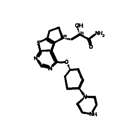 NC(=O)[C@@H](O)C[C@H]1CCc2sc3ncnc(O[C@H]4CC[C@H](N5CCNCC5)CC4)c3c21